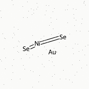 [Au].[Se]=[Ni]=[Se]